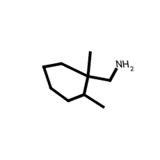 CC1CCCCC1(C)CN